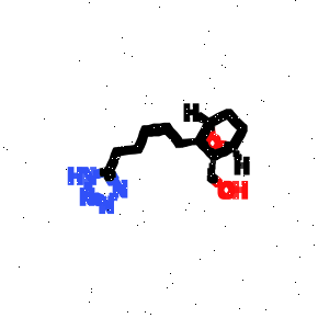 OC[C@@H]1[C@@H](C/C=C\CCc2nnn[nH]2)[C@@H]2CC[C@@H]1O2